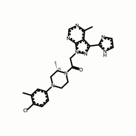 Cc1cc(N2CCN(C(=O)Cn3nc(-c4ncc[nH]4)c4c(C)ncnc43)[C@@H](C)C2)ccc1Cl